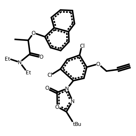 C#CCOc1cc(-n2nc(C(C)(C)C)oc2=O)c(Cl)cc1Cl.CCN(CC)C(=O)C(C)Oc1cccc2ccccc12